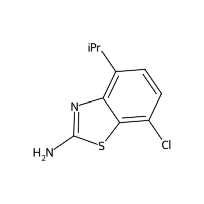 CC(C)c1ccc(Cl)c2sc(N)nc12